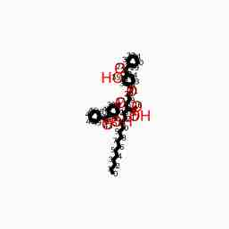 CCCCCCCCCCCCCCC(C(=O)O)C(CCOc1ccc(C(=O)c2ccccc2)c(O)c1)Oc1ccc(C(=O)c2ccccc2)c(O)c1